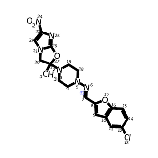 CC1(N2CCN(/N=C/c3cc4cc(Cl)ccc4o3)CC2)Cn2cc([N+](=O)[O-])nc2O1